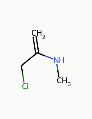 C=C(CCl)NC